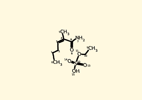 CCCC=C(C)C(N)=O.CCOS(=O)(=O)O